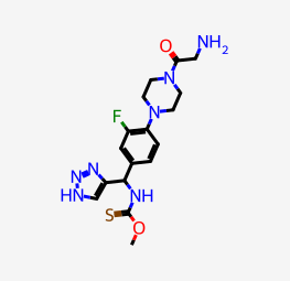 COC(=S)NC(c1ccc(N2CCN(C(=O)CN)CC2)c(F)c1)c1c[nH]nn1